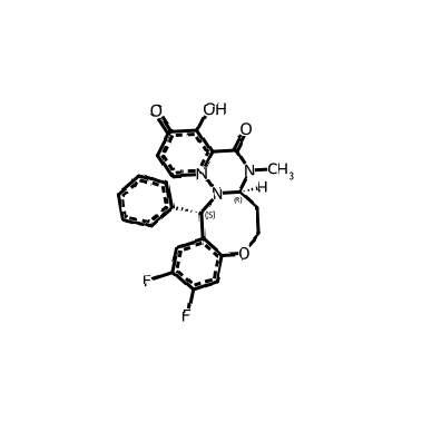 CN1C(=O)c2c(O)c(=O)ccn2N2[C@@H](c3ccccc3)c3cc(F)c(F)cc3OCC[C@H]12